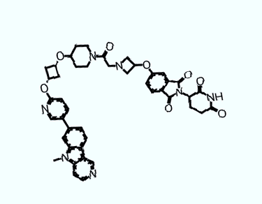 Cn1c2ccncc2c2ccc(-c3ccc(O[C@H]4C[C@H](OC5CCN(C(=O)CN6CC(Oc7ccc8c(c7)C(=O)N(C7CCC(=O)NC7=O)C8=O)C6)CC5)C4)nc3)cc21